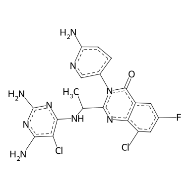 CC(Nc1nc(N)nc(N)c1Cl)c1nc2c(Cl)cc(F)cc2c(=O)n1-c1ccc(N)nc1